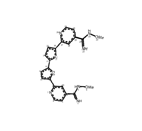 CONC(=N)c1ccnc(-c2ccc(-c3ccc(-c4cc(C(=N)NOC)ccn4)o3)o2)c1